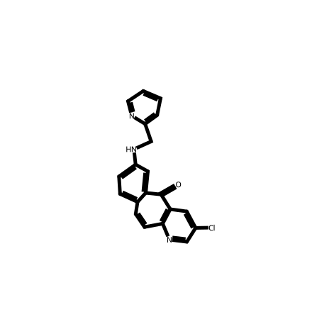 O=c1c2cc(NCc3ccccn3)ccc2ccc2ncc(Cl)cc12